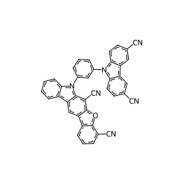 N#Cc1ccc2c(c1)c1cc(C#N)ccc1n2-c1cccc(-n2c3ccccc3c3cc4c(oc5c(C#N)cccc54)c(C#N)c32)c1